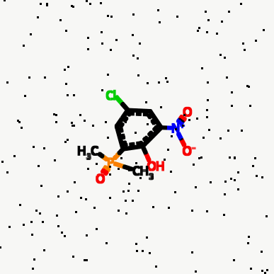 CP(C)(=O)c1cc(Cl)cc([N+](=O)[O-])c1O